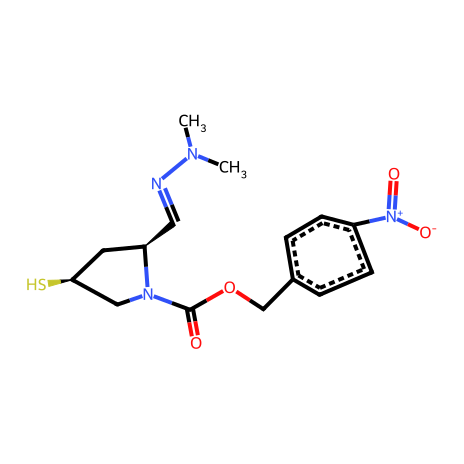 CN(C)N=C[C@@H]1C[C@H](S)CN1C(=O)OCc1ccc([N+](=O)[O-])cc1